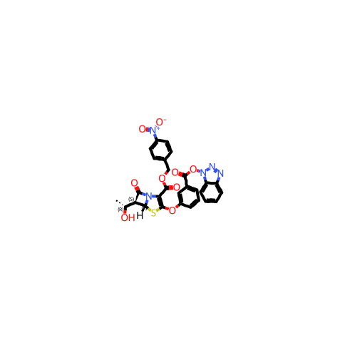 C[C@@H](O)[C@H]1C(=O)N2C(C(=O)OCc3ccc([N+](=O)[O-])cc3)=C(Oc3cccc(C(=O)On4nnc5ccccc54)c3)S[C@H]12